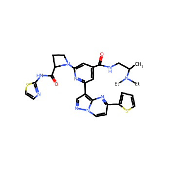 CCN(CC)C(C)CNC(=O)c1cc(-c2cnn3ccc(-c4cccs4)nc23)nc(N2CCC2C(=O)Nc2nccs2)c1